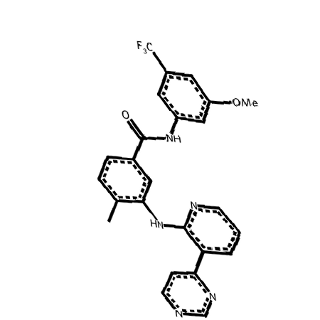 COc1cc(NC(=O)c2ccc(C)c(Nc3ncccc3-c3ccncn3)c2)cc(C(F)(F)F)c1